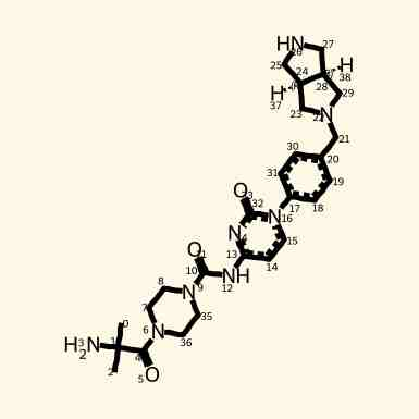 CC(C)(N)C(=O)N1CCN(C(=O)Nc2ccn(-c3ccc(CN4C[C@H]5CNC[C@H]5C4)cc3)c(=O)n2)CC1